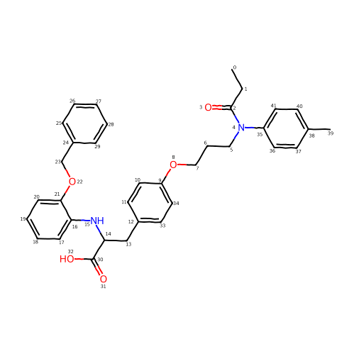 CCC(=O)N(CCCOc1ccc(CC(Nc2ccccc2OCc2ccccc2)C(=O)O)cc1)c1ccc(C)cc1